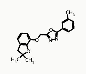 Cc1cccc(-c2nnc(COc3cccc4c3OC(C)(C)C4)o2)c1